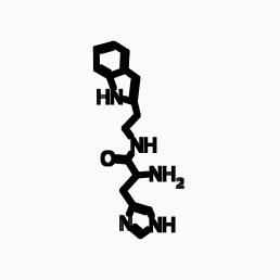 NC(Cc1c[nH]cn1)C(=O)NCCc1cc2ccccc2[nH]1